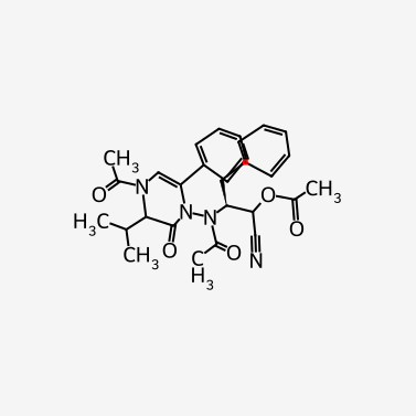 CC(=O)OC(C#N)[C@H](Cc1ccccc1)N(C(C)=O)N1C(=O)C(C(C)C)N(C(C)=O)C=C1c1ccccc1